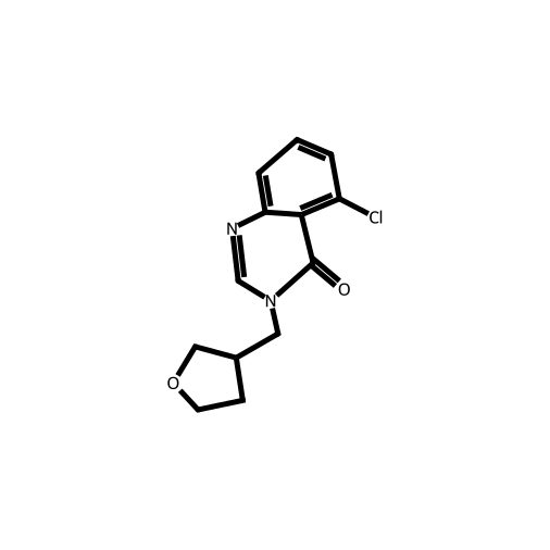 O=c1c2c(Cl)cccc2ncn1CC1CCOC1